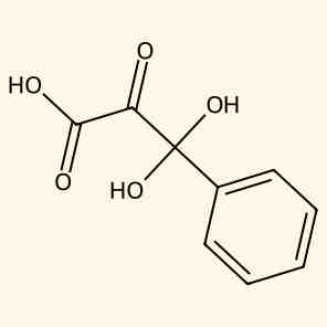 O=C(O)C(=O)C(O)(O)c1ccccc1